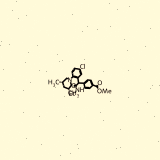 CCNC(=O)C(c1ccc(C(=O)OC)cc1)c1cc(Cl)ccc1N1C[C@H](C)C[C@H](C)C1